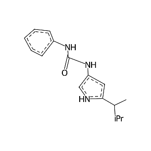 CC(C)C(C)c1cc(NC(=O)Nc2ccccc2)c[nH]1